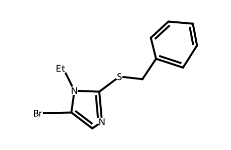 CCn1c(Br)cnc1SCc1ccccc1